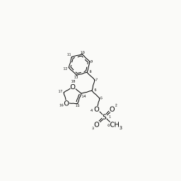 CS(=O)(=O)OCC(Cc1ccccc1)C1=COCO1